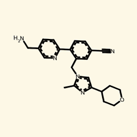 Cc1nc(C2CCOCC2)cn1Cc1cc(C#N)ccc1-c1ccc(CN)cn1